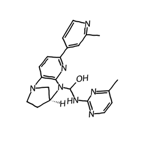 Cc1cc(-c2ccc3c(n2)N(C(O)Nc2nccc(C)n2)[C@H]2CCN3C2)ccn1